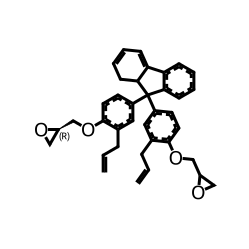 C=CCc1cc(C2(c3ccc(OC[C@H]4CO4)c(CC=C)c3)c3ccccc3C3=CC=CCC32)ccc1OCC1CO1